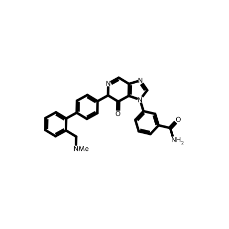 CNCc1ccccc1-c1ccc(C2N=Cc3ncn(-c4cccc(C(N)=O)c4)c3C2=O)cc1